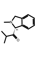 CC(C)C(=O)[C@H]1c2ccccc2CN1C